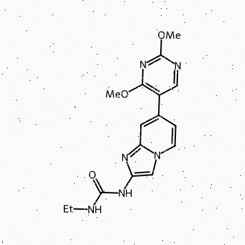 CCNC(=O)Nc1cn2ccc(-c3cnc(OC)nc3OC)cc2n1